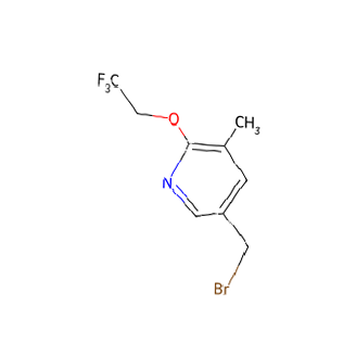 Cc1cc(CBr)cnc1OCC(F)(F)F